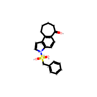 O=C1CCCCc2c1ccc1c2ccn1S(=O)(=O)Cc1ccccc1